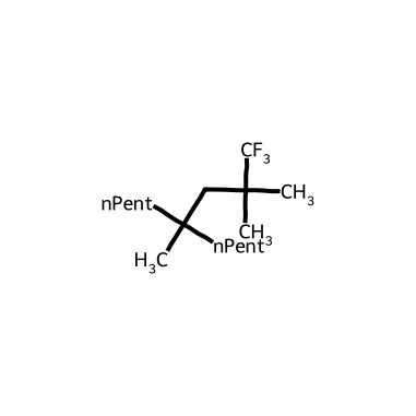 CCCCCC(C)(CCCCC)CC(C)(C)C(F)(F)F